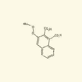 CC(C)(C)OOc1cc2ccccc2c(C(=O)O)c1C(=O)O